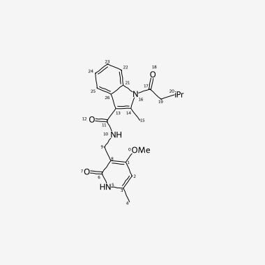 COc1cc(C)[nH]c(=O)c1CNC(=O)c1c(C)n(C(=O)CC(C)C)c2ccccc12